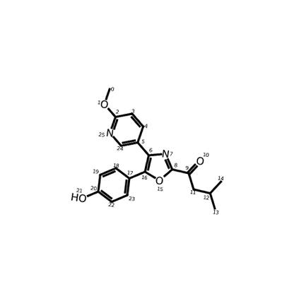 COc1ccc(-c2nc(C(=O)CC(C)C)oc2-c2ccc(O)cc2)cn1